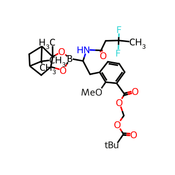 COc1c(CC(NC(=O)CC(C)(F)F)B2OC3CC4CC(C4(C)C)C3(C)O2)cccc1C(=O)OCOC(=O)C(C)(C)C